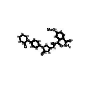 COc1ccc(C(N)=O)c(C(=O)NCC2CC(=O)N(c3ccc(N4CCCCC4=O)cc3)C2)c1